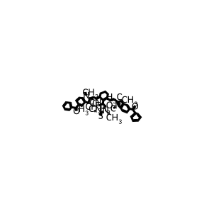 CCN1C(=O)C(C2=C(/C=C/C3=[N+](C)c4ccc(C(=O)c5ccccc5)cc4C3(C)C)CCC/C2=C\C=C2\N(C)c3ccc(C(=O)c4ccccc4)cc3C2(C)C)C([O-])N(CC)C1=S